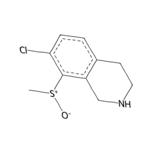 C[S+]([O-])c1c(Cl)ccc2c1CNCC2